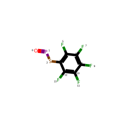 O=PSc1c(F)c(F)c(F)c(F)c1F